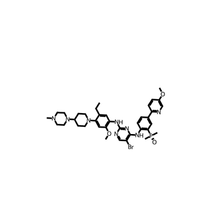 CCc1cc(Nc2ncc(Br)c(Nc3ccc(-c4ccc(OC)cn4)cc3P(C)(C)=O)n2)c(OC)cc1N1CCC(N2CCN(C)CC2)CC1